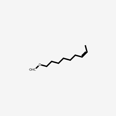 C/C=C\CCCCCCO[C]=O